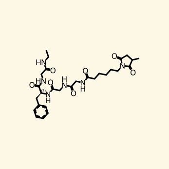 CCNC(=O)CNC(=O)[C@H](Cc1ccccc1)NC(=O)CNC(=O)CNC(=O)CCCCCN1C(=O)CC(C)C1=O